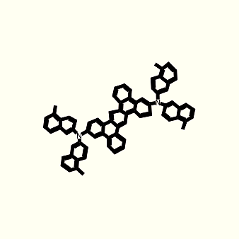 Cc1cccc2cc(N(c3ccc4c(C)cccc4c3)c3ccc4c(c3)c3ccccc3c3cc5c6ccc(N(c7ccc8c(C)cccc8c7)c7ccc8c(C)cccc8c7)cc6c6ccccc6c5cc43)ccc12